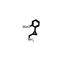 COc1ccccc1C1CC1CN